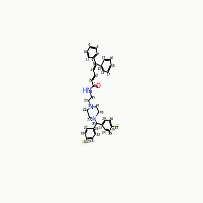 O=C(C=CC=C(c1ccccc1)c1ccccc1)NCCN1CCN(C(c2ccc(F)cc2)c2ccc(F)cc2)CC1